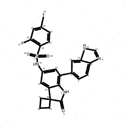 O=C1Nc2c(-c3ccc4nc[nH]c4c3)cc(NS(=O)(=O)c3ccc(F)cc3F)cc2C12CCC2